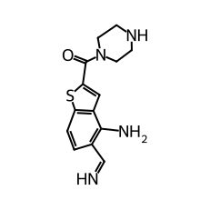 N=Cc1ccc2sc(C(=O)N3CCNCC3)cc2c1N